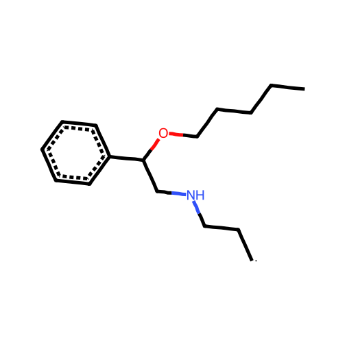 [CH2]CCNCC(OCCCCC)c1ccccc1